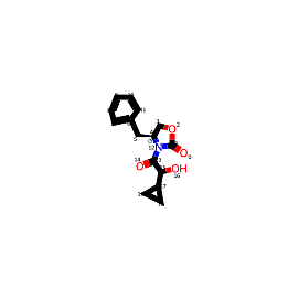 O=C1OC[C@H](Cc2ccccc2)N1C(=O)C(O)C1CC1